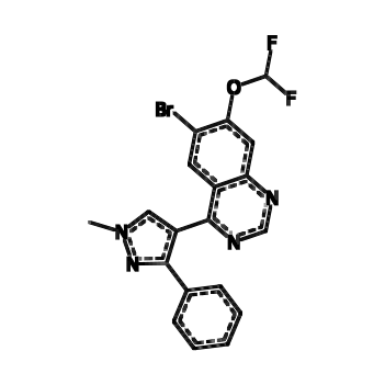 Cn1cc(-c2ncnc3cc(OC(F)F)c(Br)cc23)c(-c2ccccc2)n1